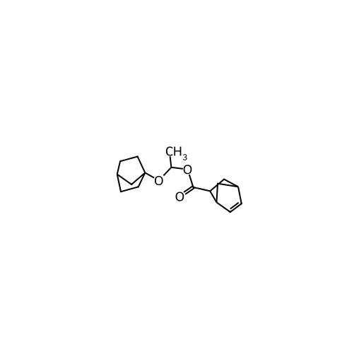 CC(OC(=O)C1CC2C=CC1C2)OC12CCC(CC1)C2